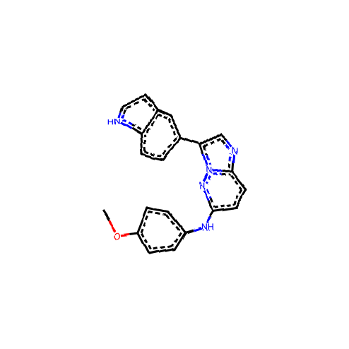 COc1ccc(Nc2ccc3ncc(-c4ccc5[nH]ccc5c4)n3n2)cc1